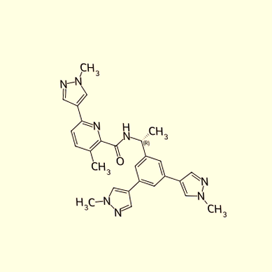 Cc1ccc(-c2cnn(C)c2)nc1C(=O)N[C@H](C)c1cc(-c2cnn(C)c2)cc(-c2cnn(C)c2)c1